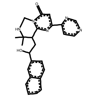 CC1(C)NCn2c(nc(-c3ccncn3)cc2=O)C1CC(O)c1ccc2ccccc2c1